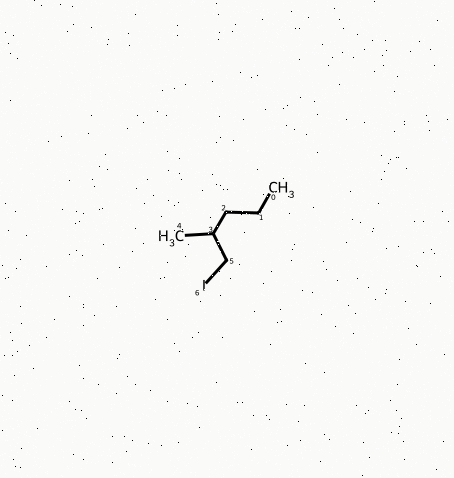 CCCC(C)CI